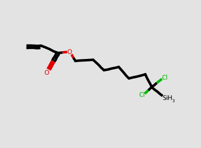 C=CC(=O)OCCCCCCC([SiH3])(Cl)Cl